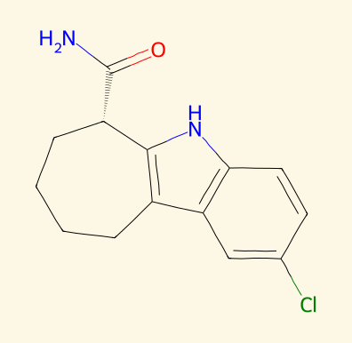 NC(=O)[C@H]1CCCCc2c1[nH]c1ccc(Cl)cc21